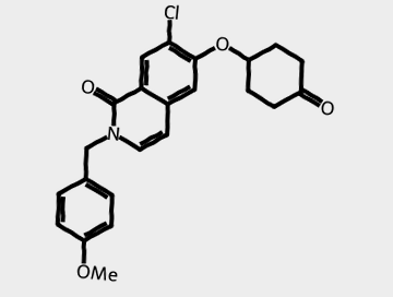 COc1ccc(Cn2ccc3cc(OC4CCC(=O)CC4)c(Cl)cc3c2=O)cc1